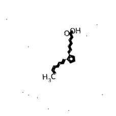 CC/C=C\CC/C=C/[C@H]1CCC[C@@H]1CCCCCCC(=O)O